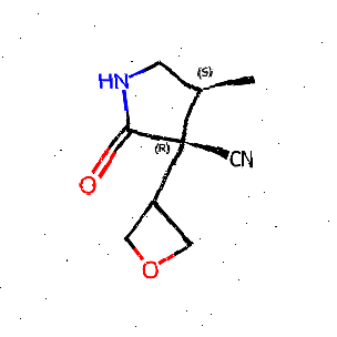 C[C@@H]1CNC(=O)[C@@]1(C#N)C1COC1